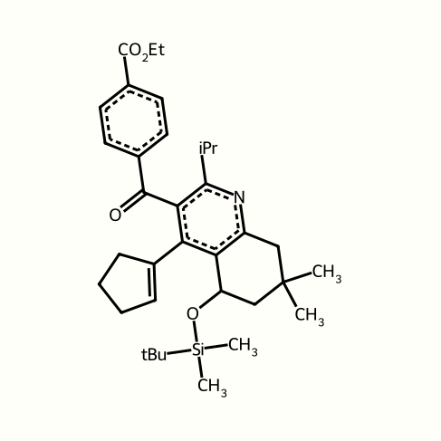 CCOC(=O)c1ccc(C(=O)c2c(C(C)C)nc3c(c2C2=CCCC2)C(O[Si](C)(C)C(C)(C)C)CC(C)(C)C3)cc1